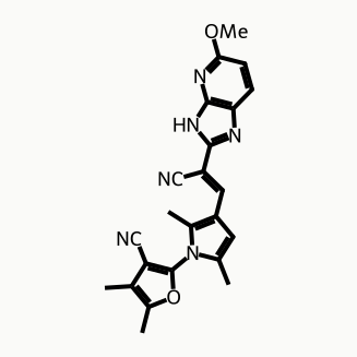 COc1ccc2nc(C(C#N)=Cc3cc(C)n(-c4oc(C)c(C)c4C#N)c3C)[nH]c2n1